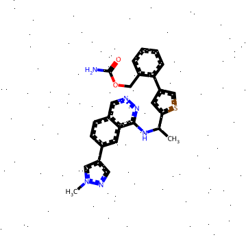 CC(Nc1nncc2ccc(-c3cnn(C)c3)cc12)c1cc(-c2ccccc2COC(N)=O)cs1